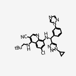 CC(C)(C)CNc1c(C#N)cnc2c(N[C@@H](c3cccc(-n4cncn4)c3)c3cn(C4CC4)nn3)cc(Cl)cc12